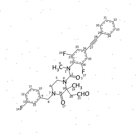 CN(C(=O)N1CCN(Cc2cccc(F)c2)C(=O)C1(C)CC=O)c1c(F)cc(C#Cc2ccccc2)cc1F